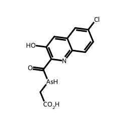 O=C(O)C[AsH]C(=O)c1nc2ccc(Cl)cc2cc1O